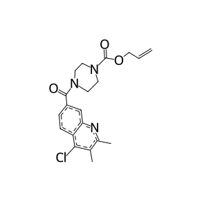 C=CCOC(=O)N1CCN(C(=O)c2ccc3c(Cl)c(C)c(C)nc3c2)CC1